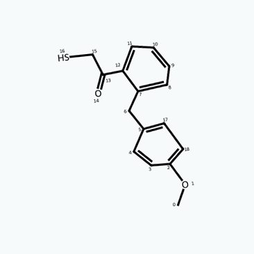 COc1ccc(Cc2ccccc2C(=O)CS)cc1